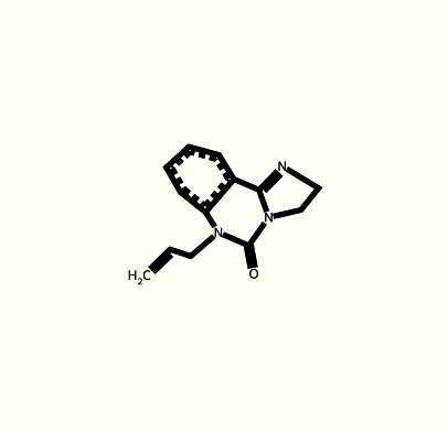 C=CCN1C(=O)N2CCN=C2c2ccccc21